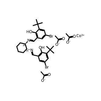 CC(=O)[O-].CC(=O)[O-].CC(=O)[O-].CC(C)(C)c1cc(Br)cc(C=N[C@@H]2CCCC[C@H]2N=Cc2cc(Br)cc(C(C)(C)C)c2O)c1O.[Co+3]